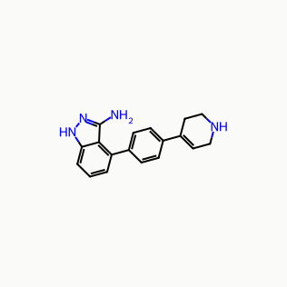 Nc1n[nH]c2cccc(-c3ccc(C4=CCNCC4)cc3)c12